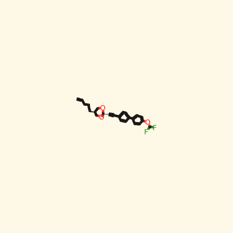 C=CCCC[C@H]1CO[C@H](C#Cc2ccc(-c3ccc(OC(F)F)cc3)cc2)OC1